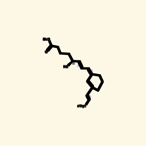 CCCCCCC/C=C/C1=CC(=C\C=C\[C@@H](O)CCCC(=O)OC)/CCC1